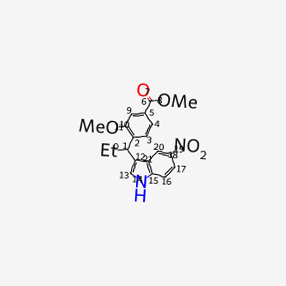 CCC(c1ccc(C(=O)OC)cc1OC)c1c[nH]c2ccc([N+](=O)[O-])cc12